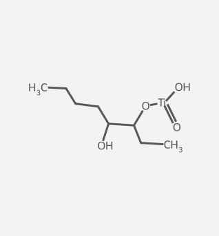 CCCCC(O)C(CC)[O][Ti](=[O])[OH]